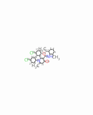 CCc1cccc(C)c1NC(=O)c1c(-c2cccc(Cl)c2)n(-c2ccc(Cl)cc2)c(C)cc1=O